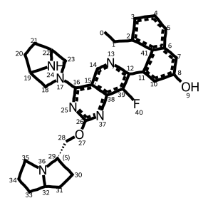 CCc1cccc2cc(O)cc(-c3ncc4c(N5CC6CCC(C5)N6)nc(OC[C@@H]5CCC6CCCN65)nc4c3F)c12